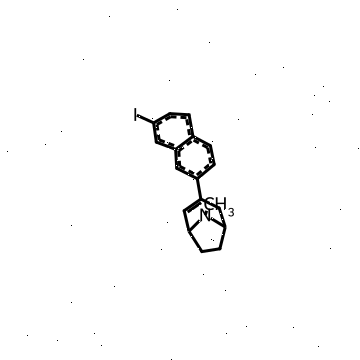 CN1C2C=C(c3ccc4ccc(I)cc4c3)CC1CC2